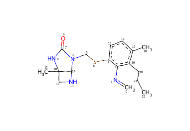 C=Nc1c(SCN2C(=O)NC3(C)CNC23)ccc(C)c1CCC